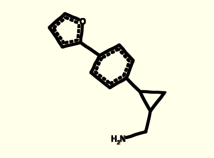 NCC1CC1c1ccc(-c2ccco2)cc1